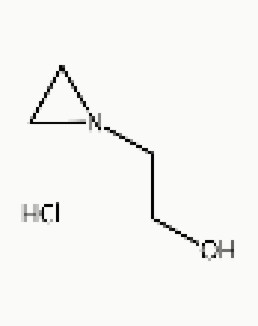 Cl.OCCN1CC1